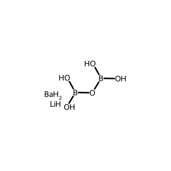 OB(O)OB(O)O.[BaH2].[LiH]